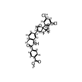 COC(=O)c1ccc(C(=O)Nc2cc(C3=NOC(c4cc(Cl)cc(Cl)c4)(C(F)(F)F)C3)ccc2C)cc1